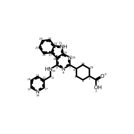 O=C(O)C1CCC(c2nc(NCc3cccnc3)c3c(n2)[nH]c2ccccc23)CC1